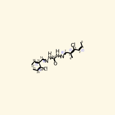 C\C=C/C(Cl)=C(C)/C=N/NC(=O)N/N=C/C(=C/C)C(/Cl)=C\C